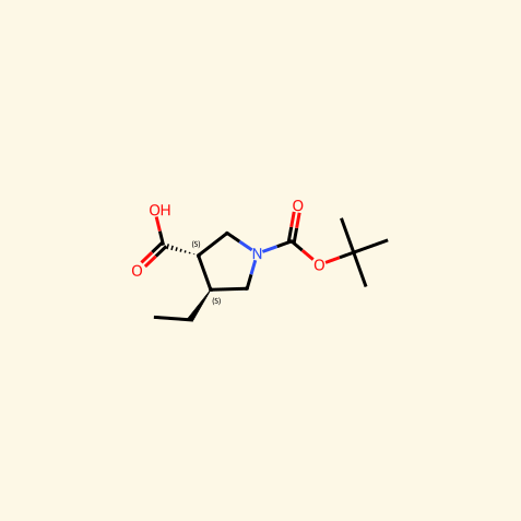 CC[C@@H]1CN(C(=O)OC(C)(C)C)C[C@H]1C(=O)O